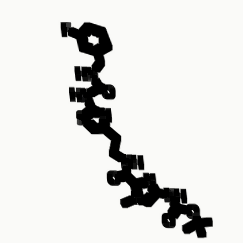 Cn1cc(NC(=O)OC(C)(C)C)nc1C(=O)NCCc1csc(NC(=O)NCc2cccc(F)c2)n1